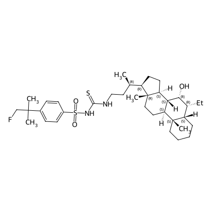 CC[C@H]1[C@@H](O)[C@@H]2[C@H](CC[C@]3(C)[C@@H]([C@H](C)CCNC(=S)NS(=O)(=O)c4ccc(C(C)(C)CF)cc4)CC[C@@H]23)[C@@]2(C)CCCC[C@@H]12